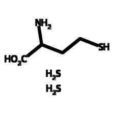 NC(CCS)C(=O)O.S.S